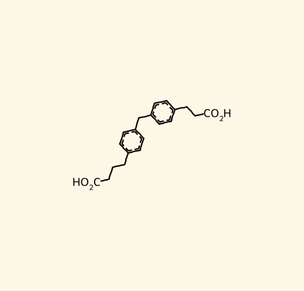 O=C(O)CCCc1ccc(Cc2ccc(CCC(=O)O)cc2)cc1